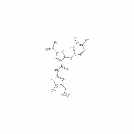 CC(C)C(=O)c1cc(C(=O)Nc2nc(CC(=O)O)c(Cl)s2)n(Cc2ccc(F)c(F)c2)c1